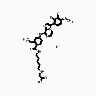 CCc1cc(Nc2nccn3c(-c4ccc(OC)c(F)c4F)cnc23)ccc1C(=O)NCCCCCNCC(=O)O.Cl